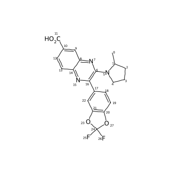 CC1CCCN1c1nc2cc(C(=O)O)ccc2nc1-c1ccc2c(c1)OC(F)(F)O2